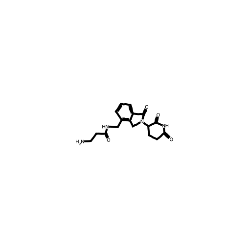 NCCC(=O)NCc1cccc2c1CN(C1CCC(=O)NC1=O)C2=O